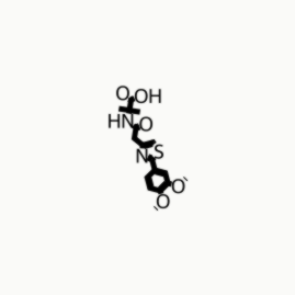 COc1ccc(-c2nc(CC(=O)NC(C)(C)C(=O)O)cs2)cc1OC